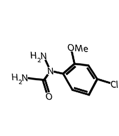 COc1cc(Cl)ccc1N(N)C(N)=O